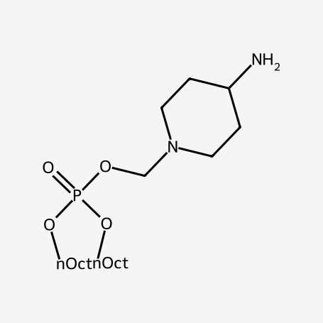 CCCCCCCCOP(=O)(OCCCCCCCC)OCN1CCC(N)CC1